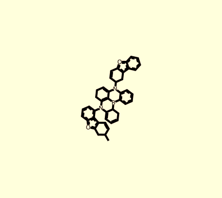 CC1C=Cc2c(oc3cccc(N4C5=CC=CCC5B5C6=C4CCC=C6N(C4C=Cc6oc7ccccc7c6C4)c4ccccc45)c23)C1